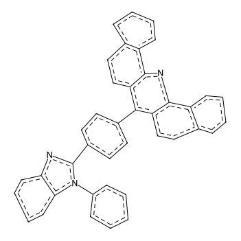 c1ccc(-n2c(-c3ccc(-c4c5ccc6ccccc6c5nc5c4ccc4ccccc45)cc3)nc3ccccc32)cc1